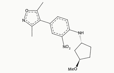 CO[C@@H]1CC[C@@H](Nc2ccc(-c3c(C)noc3C)cc2[N+](=O)[O-])C1